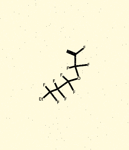 C=C(F)C(F)(F)OC(F)(F)C(F)(F)C(F)(F)CC